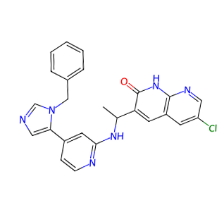 CC(Nc1cc(-c2cncn2Cc2ccccc2)ccn1)c1cc2cc(Cl)cnc2[nH]c1=O